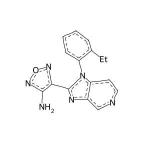 CCc1ccccc1-n1c(-c2nonc2N)nc2cnccc21